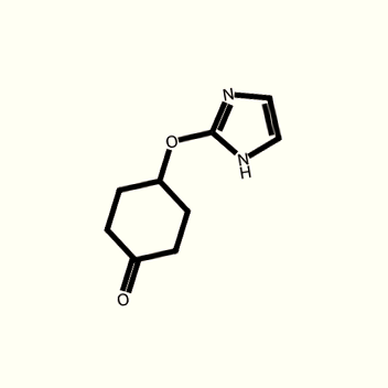 O=C1CCC(Oc2ncc[nH]2)CC1